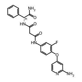 NC(=O)[C@H](NC(=O)CC(=O)Nc1ccc(Oc2ccnc(N)c2)c(F)c1)c1ccccc1